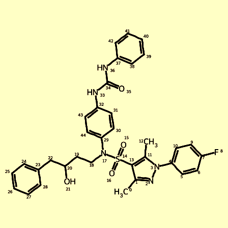 Cc1nn(-c2ccc(F)cc2)c(C)c1S(=O)(=O)N(CCC(O)Cc1ccccc1)c1ccc(NC(=O)Nc2ccccc2)cc1